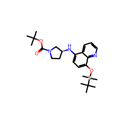 CC(C)(C)OC(=O)N1CC[C@H](Nc2ccc(O[Si](C)(C)C(C)(C)C)c3ncccc23)C1